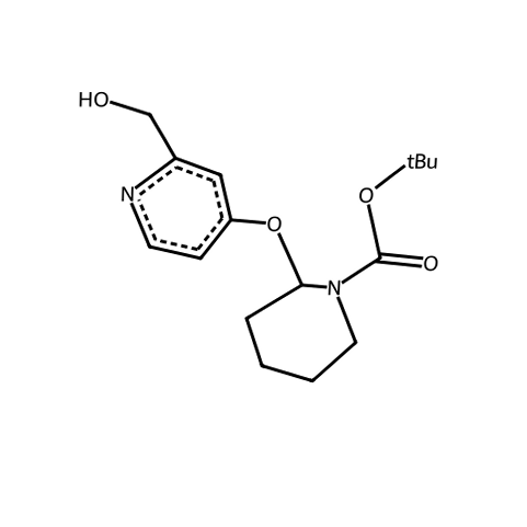 CC(C)(C)OC(=O)N1CCCCC1Oc1ccnc(CO)c1